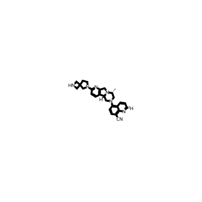 [2H]c1ccc2c(N3C[C@@H](C)N4Cc5nc(N6CCC7(CNC7)C6)ccc5[C@H]4C3)ccc(C#N)c2n1